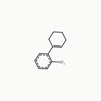 FC(F)(F)c1ccccc1C1=CCCCC1